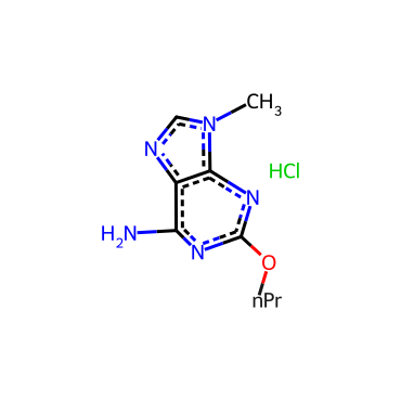 CCCOc1nc(N)c2ncn(C)c2n1.Cl